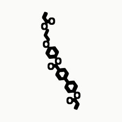 C=CC(=O)OCCCOc1ccc(OC(=O)c2ccc(-c3ccc(OC(=O)C=C)cc3)cc2)cc1